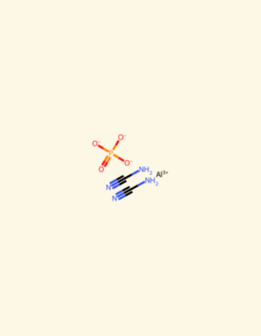 N#CN.N#CN.O=P([O-])([O-])[O-].[Al+3]